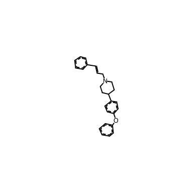 C(=Cc1ccccc1)CN1CCC(c2ccc(Oc3ccccc3)cc2)CC1